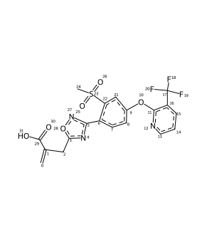 C=C(Cc1nc(-c2ccc(Oc3ncccc3C(F)(F)F)cc2S(C)(=O)=O)no1)C(=O)O